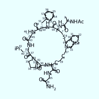 CC(=O)N[C@@H](C)C(=O)N[C@H]1CSc2c3ccsc3cn2CCCC[C@@H](C(=O)NCC(N)=O)NC(=O)[C@@H]2CCCN2C(=O)[C@H](CC(C)C)NC(=O)[C@H](C)NC(=O)[C@H](Cc2ccccc2)NC1=O